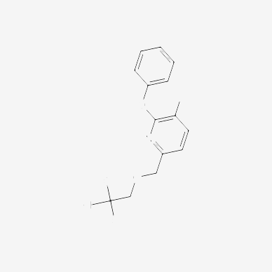 Fc1ccc(COCC(Cl)(Cl)Cl)nc1Oc1ccccc1